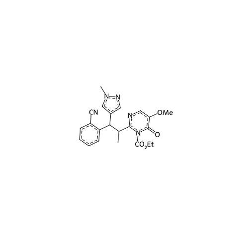 CCOC(=O)n1c(C(C)C(c2cnn(C)c2)c2ccccc2C#N)ncc(OC)c1=O